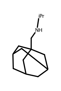 CC(C)NCC12CC3CC(CC(C3)C1)C2